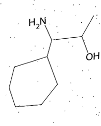 [CH2]C(O)C(N)C1CCCCC1